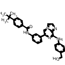 CC(C)(C)c1ccc(C(=O)Nc2cccc(-c3cn4ccnc4c(Nc4ccc(CO)cc4)n3)c2)cc1